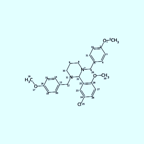 COc1ccc(CN2CCCN(Cc3ccc(OC)cc3)C2c2cc(Cl)ccc2OC)cc1